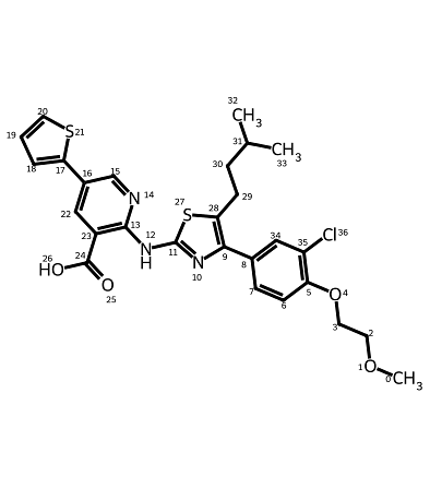 COCCOc1ccc(-c2nc(Nc3ncc(-c4cccs4)cc3C(=O)O)sc2CCC(C)C)cc1Cl